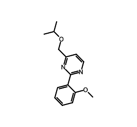 COc1ccccc1-c1nccc(COC(C)C)n1